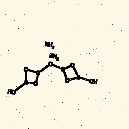 N.N.OB1OB(OB2OB(O)O2)O1